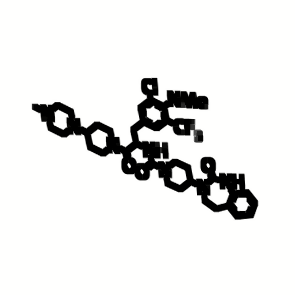 CNc1c(Cl)cc(CC(NC(=O)N2CCC(N3CCc4ccccc4NC3=O)CC2)C(=O)N2CCC(N3CCN(C)CC3)CC2)cc1C(F)(F)F